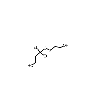 CCC(CC)(CCO)SSCCO